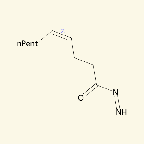 CCCCC/C=C\CCC(=O)N=N